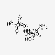 N.N.NN.O=[N+]([O-])O.[O-][Cl+3]([O-])([O-])O